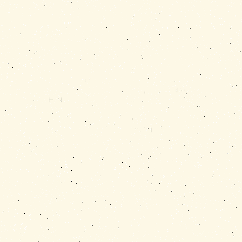 CCCC(C)COC(=O)CCC(=O)CN.Cc1ccccc1S(=O)(=O)O